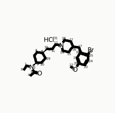 CCN(C(C)=O)[C@H]1CC[C@@H](CCCN2CCC(Cc3cc(OC)ccc3Br)CC2)CC1.Cl